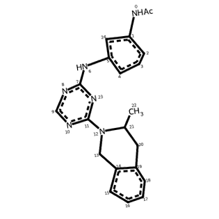 CC(=O)Nc1cccc(Nc2ncnc(N3Cc4ccccc4CC3C)n2)c1